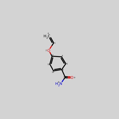 C=COc1ccc(C(N)=O)cc1